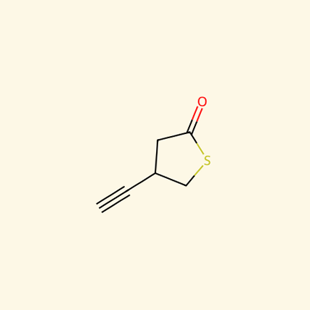 C#CC1CSC(=O)C1